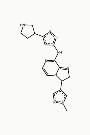 Cn1cc(C2CN=C3C(Nc4cc(C5CCNC5)ns4)=NC=CN32)cn1